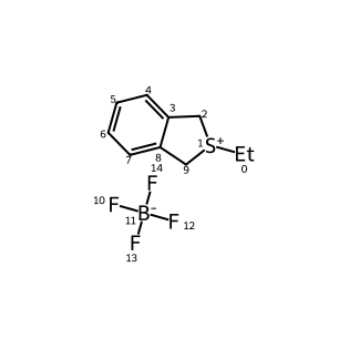 CC[S+]1Cc2ccccc2C1.F[B-](F)(F)F